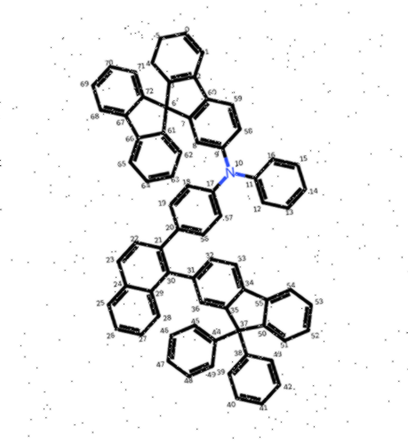 C1=CC2=C(CC1)C1(c3cc(N(c4ccccc4)c4ccc(-c5ccc6ccccc6c5-c5ccc6c(c5)C(c5ccccc5)(c5ccccc5)c5ccccc5-6)cc4)ccc32)c2ccccc2-c2ccccc21